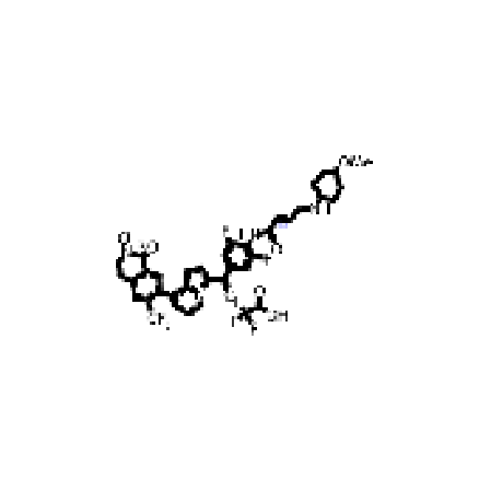 COC1CCC(NC/C=C/C(=O)Nc2c(F)cc(C(=O)c3ccc4c(-c5cc6c(cc5C(F)(F)F)CCN(C)C6=O)cccn34)cc2F)CC1.O=C(O)C(F)(F)F